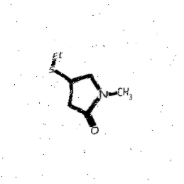 CCSC1CC(=O)N(C)C1